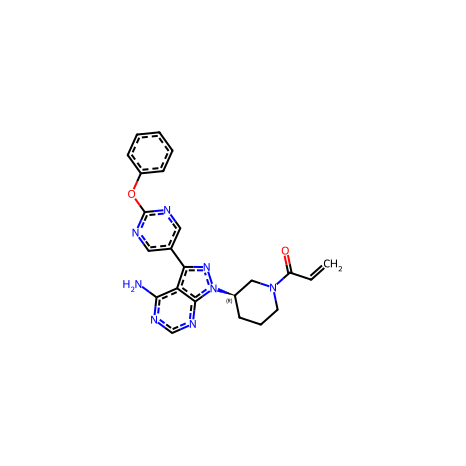 C=CC(=O)N1CCC[C@@H](n2nc(-c3cnc(Oc4ccccc4)nc3)c3c(N)ncnc32)C1